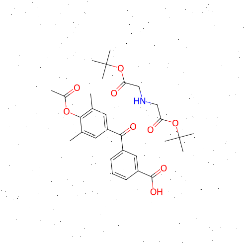 CC(=O)Oc1c(C)cc(C(=O)c2cccc(C(=O)O)c2)cc1C.CC(C)(C)OC(=O)CNCC(=O)OC(C)(C)C